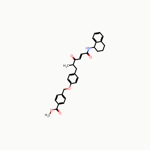 COC(=O)c1ccc(COc2ccc(CC(C)C(=O)/C=C/C(=O)NC3CCCc4ccccc43)cc2)cc1